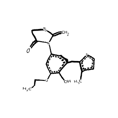 C=C1SCC(=O)N1c1cc(OCC)c(O)c(-c2sccc2C)c1